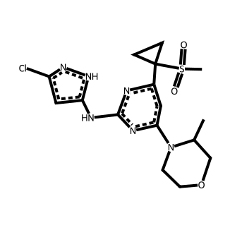 CC1COCCN1c1cc(C2(S(C)(=O)=O)CC2)nc(Nc2cc(Cl)n[nH]2)n1